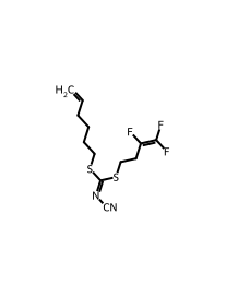 C=CCCCCSC(=NC#N)SCCC(F)=C(F)F